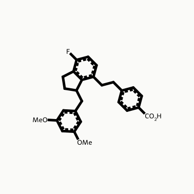 COc1cc(CC2CCc3c(F)ccc(CCc4ccc(C(=O)O)cc4)c32)cc(OC)c1